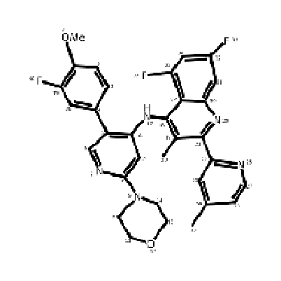 COc1ccc(-c2cnc(N3CCOCC3)cc2Nc2c(C)c(-c3cc(C)ccn3)nc3cc(F)cc(F)c23)cc1F